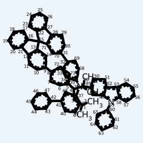 CC(C)CC(c1ccc(-c2ccc3c(c2)C2(c4ccccc4-3)c3ccccc3-c3ccc(-c4ccc(N(c5cccc(-c6ccccc6)c5)c5ccc6c7ccccc7n(-c7ccccc7)c6c5)cc4)cc32)cc1)C(C)C